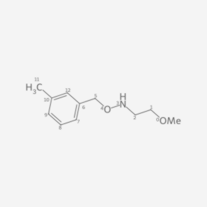 COCCNOCc1cccc(C)c1